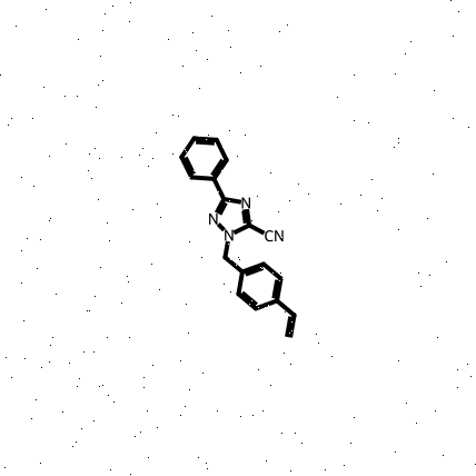 C=Cc1ccc(Cn2nc(-c3ccccc3)nc2C#N)cc1